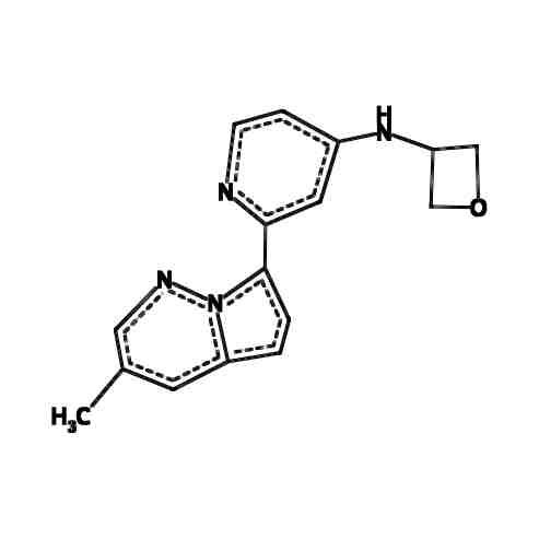 Cc1cnn2c(-c3cc(NC4COC4)ccn3)ccc2c1